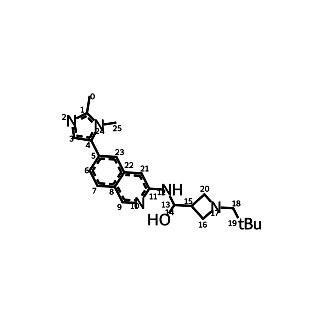 Cc1ncc(-c2ccc3cnc(NC(O)C4CN(CC(C)(C)C)C4)cc3c2)n1C